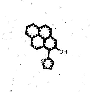 Oc1cc2ccc3cccc4ccc(c1-c1cccs1)c2c34